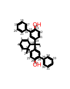 CC1(C)C=CC=CC1C(C)(c1ccc(O)c(-c2ccccc2)c1)c1ccc(O)c(-c2ccccc2)c1